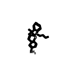 CCCCN1c2ccccc2C(C)(C)C12C=Cc1cc(N)ccc1O2